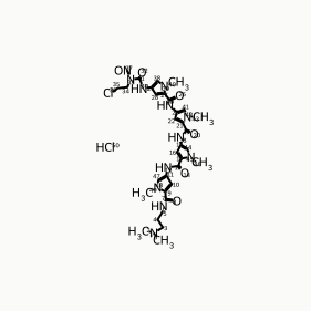 CN(C)CCCNC(=O)c1cc(NC(=O)c2cc(NC(=O)c3cc(NC(=O)c4cc(NC(=O)N(CCCl)N=O)cn4C)cn3C)cn2C)cn1C.Cl